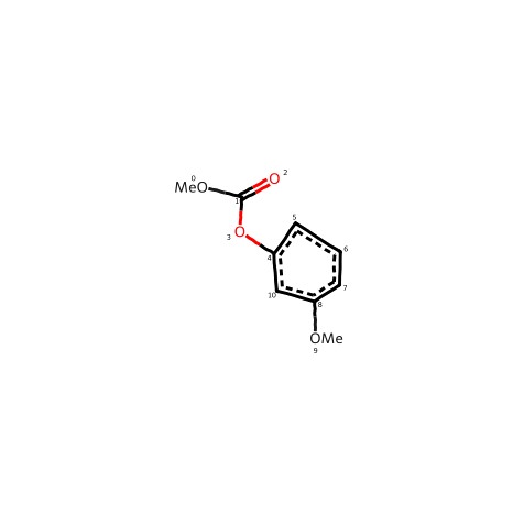 COC(=O)Oc1cccc(OC)c1